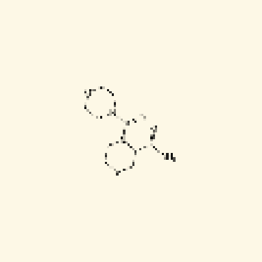 NC(=O)C1C[CH]CCN1C(=O)N1CCOCC1